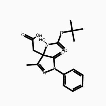 CC1=NN(c2ccccc2)C(=O)C1(CC(=O)O)N(O)C(=O)OC(C)(C)C